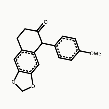 COc1ccc(C2C(=O)CCc3cc4c(cc32)OCO4)cc1